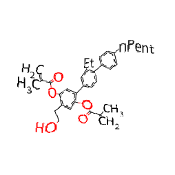 C=C(C)C(=O)Oc1cc(-c2ccc(-c3ccc(CCCCC)cc3)c(CC)c2)c(OC(=O)C(=C)C)cc1CCO